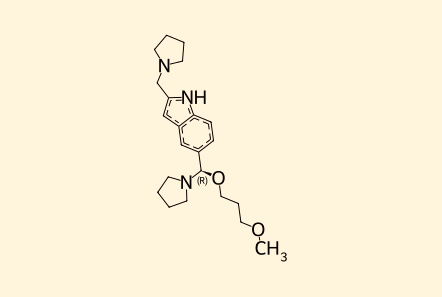 COCCCO[C@H](c1ccc2[nH]c(CN3CCCC3)cc2c1)N1CCCC1